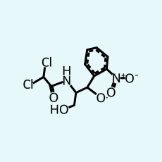 [O]C(c1ccccc1[N+](=O)[O-])C(CO)NC(=O)C(Cl)Cl